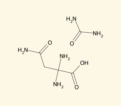 NC(=O)CC(N)(N)C(=O)O.NC(N)=O